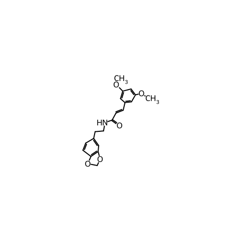 COc1cc(C=CC(=O)NCCc2ccc3c(c2)OCO3)cc(OC)c1